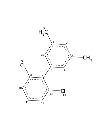 Cc1[c]c(C)cc(-c2c(Cl)cccc2Cl)c1